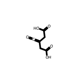 O=C=C(CC(=O)O)CC(=O)O